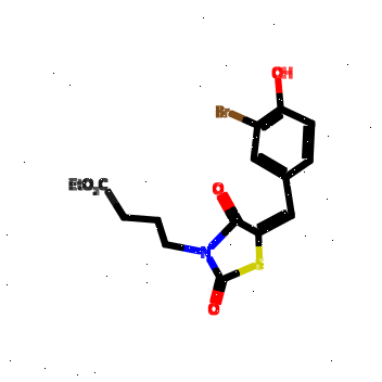 CCOC(=O)CCCN1C(=O)SC(=Cc2ccc(O)c(Br)c2)C1=O